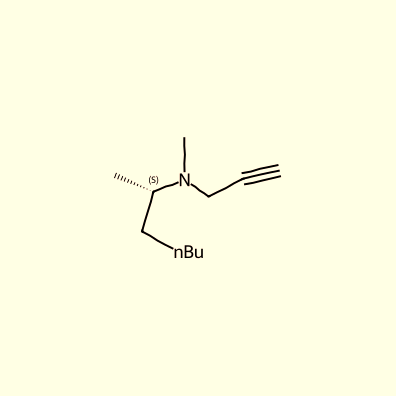 C#CCN(C)[C@@H](C)CCCCC